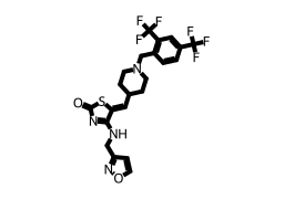 O=C1N=C(NCc2ccon2)C(=CC2CCN(Cc3ccc(C(F)(F)F)cc3C(F)(F)F)CC2)S1